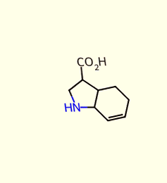 O=C(O)C1CNC2C=CCCC21